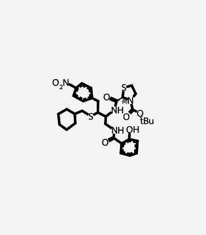 CC(C)(C)OC(=O)N1CCS[C@@H]1C(=O)NC(CNC(=O)c1ccccc1O)C(Cc1ccc([N+](=O)[O-])cc1)SCC1CCCCC1